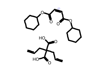 C=CCC(CC=C)(C(=O)O)C(=O)O.O=C(/C=C\C(=O)OC1CCCCC1)OC1CCCCC1